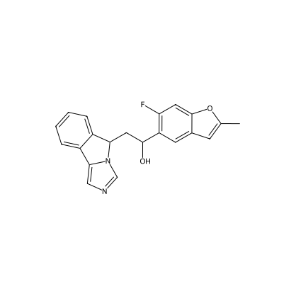 Cc1cc2cc(C(O)CC3c4ccccc4-c4cncn43)c(F)cc2o1